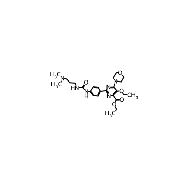 CCOC(=O)c1nc(-c2ccc(NC(=O)NCCCN(C)C)cc2)nc(N2CCOCC2)c1OCC